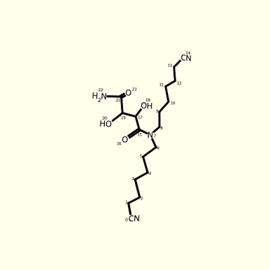 N#CCCCCCCN(CCCCCCC#N)C(=O)C(O)C(O)C(N)=O